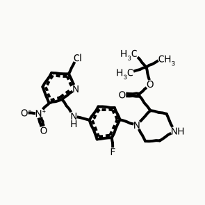 CC(C)(C)OC(=O)C1CNCCN1c1ccc(Nc2nc(Cl)ccc2[N+](=O)[O-])cc1F